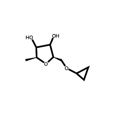 C[C@@H]1O[C@H](COC2CC2)C(O)C1O